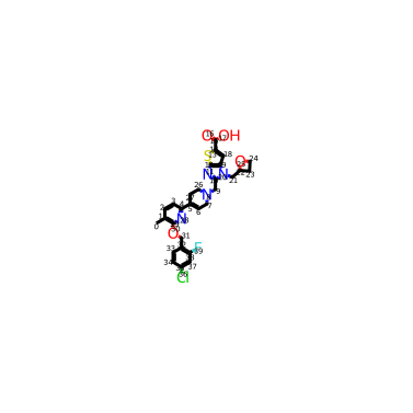 Cc1ccc(C2=CCN(Cc3nc4sc(C(=O)O)cc4n3CC3CCO3)CC2)nc1OCc1ccc(Cl)cc1F